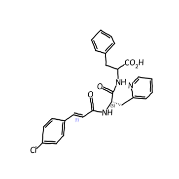 O=C(/C=C/c1ccc(Cl)cc1)N[C@@H](Cc1ccccn1)C(=O)NC(Cc1ccccc1)C(=O)O